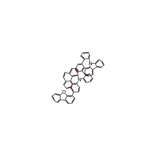 c1cc(-c2ccccc2N(c2ccc(-c3cccc4c3oc3ccccc34)cc2)c2cccc3ccc4ccccc4c23)cc(-c2ccccc2-n2c3ccccc3c3ccccc32)c1